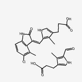 Cc1c(CCC(=O)O)c[nH]c1C=C1C(=O)Nc2ccc(Cl)c(C)c21.Cc1c(CCC(=O)O)c[nH]c1C=O